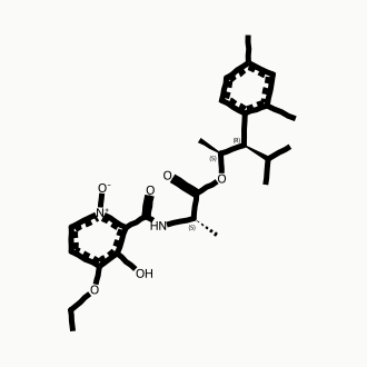 CCOc1cc[n+]([O-])c(C(=O)N[C@@H](C)C(=O)O[C@@H](C)[C@@H](c2ccc(C)cc2C)C(C)C)c1O